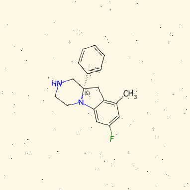 Cc1cc(F)cc2c1C[C@]1(c3ccccc3)CNCCN21